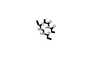 C=CC(=O)NC(=O)C=C.C=CC(=O)NCNC(=O)C=C